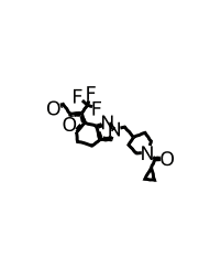 O=Cc1oc2c(c1C(F)(F)F)-c1nn(CC3CCN(C(=O)C4CC4)CC3)cc1CC2